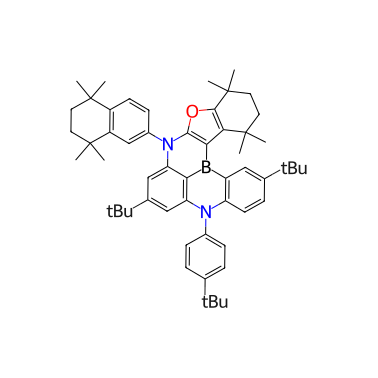 CC(C)(C)c1ccc(N2c3ccc(C(C)(C)C)cc3B3c4c2cc(C(C)(C)C)cc4N(c2ccc4c(c2)C(C)(C)CCC4(C)C)c2oc4c(c23)C(C)(C)CCC4(C)C)cc1